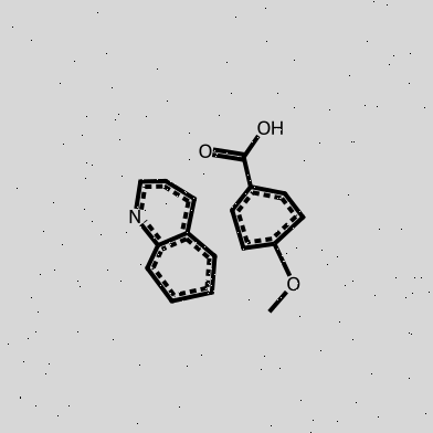 COc1ccc(C(=O)O)cc1.c1ccc2ncccc2c1